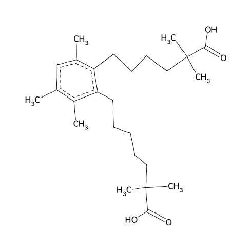 Cc1cc(C)c(CCCCC(C)(C)C(=O)O)c(CCCCCC(C)(C)C(=O)O)c1C